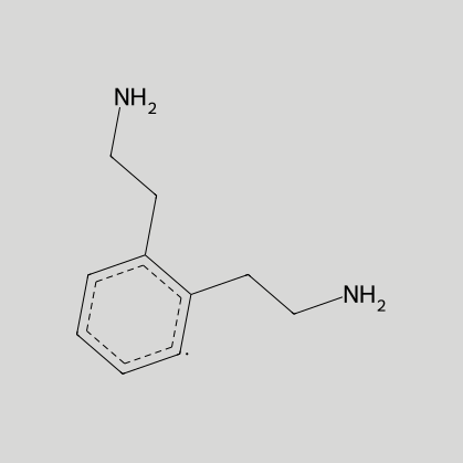 NCCc1[c]cccc1CCN